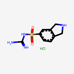 Cl.N=C(N)NS(=O)(=O)c1ccc2c(c1)CNC2